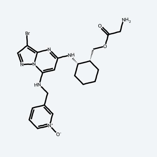 NCC(=O)OC[C@@H]1CCCC[C@@H]1Nc1cc(NCc2ccc[n+]([O-])c2)n2ncc(Br)c2n1